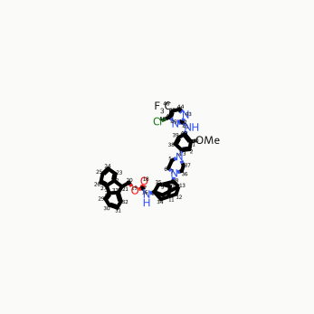 COc1cc(N2CCN(C3C4CC5CC3CC(NC(=O)OCC3c6ccccc6-c6ccccc63)(C5)C4)CC2)ccc1Nc1ncc(C(F)(F)F)c(Cl)n1